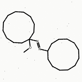 COC1(N=NC2CCCCCCCCCCC2)CCCCCCCCCCC1